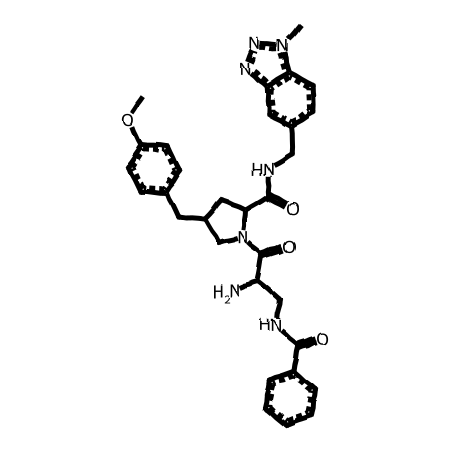 COc1ccc(CC2CC(C(=O)NCc3ccc4c(c3)nnn4C)N(C(=O)C(N)CNC(=O)c3ccccc3)C2)cc1